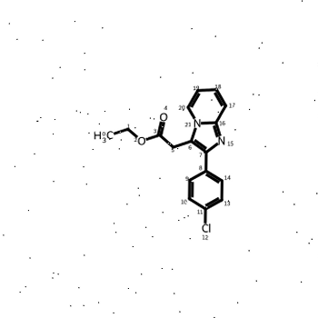 CCOC(=O)Cc1c(-c2ccc(Cl)cc2)nc2ccccn12